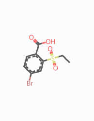 CCS(=O)(=O)c1cc(Br)ccc1C(=O)O